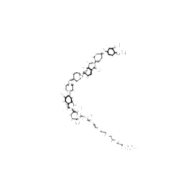 COCCOCCOCCOCCOC(=O)OCN1C(=O)CCC(N2Cc3cc(N4CCN(CC5CCN(c6ccc7c(n6)CN([C@H]6CC[C@H](Oc8ccc(C#N)c(Cl)c8)CC6)C7=O)CC5)CC4)c(F)cc3C2=O)C1=O